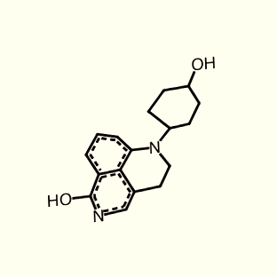 Oc1ncc2c3c(cccc13)N(C1CCC(O)CC1)CC2